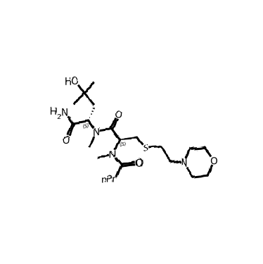 CCCC(=O)N(C)[C@H](CSCCN1CCOCC1)C(=O)N(C)[C@@H](CC(C)(C)O)C(N)=O